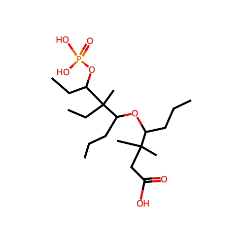 CCCC(OC(CCC)C(C)(CC)C(CC)OP(=O)(O)O)C(C)(C)CC(=O)O